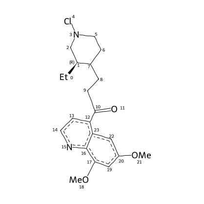 CC[C@H]1CN(Cl)CCC1CCC(=O)c1ccnc2c(OC)cc(OC)cc12